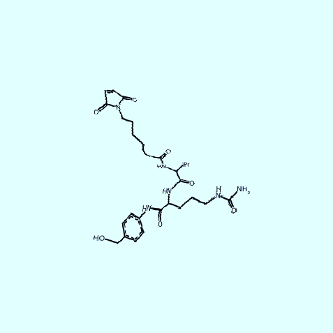 CC(C)C(NC(=O)CCCCCN1C(=O)C=CC1=O)C(=O)NC(CCCNC(N)=O)C(=O)Nc1ccc(CO)cc1